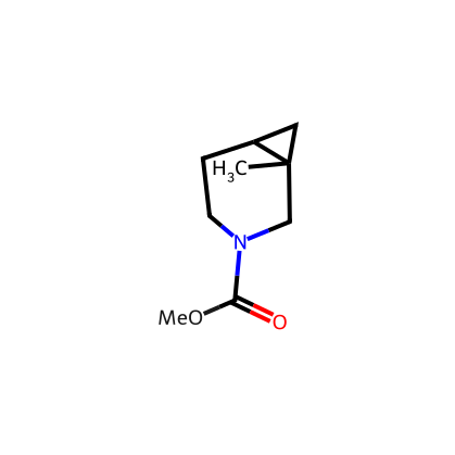 COC(=O)N1CCC2CC2(C)C1